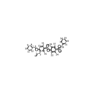 C=CCc1c(OCc2ccccc2)cc(C)c(C(=O)Oc2c(C)c(C)c(C(=O)OCc3ccccc3)c(C)c2C)c1C